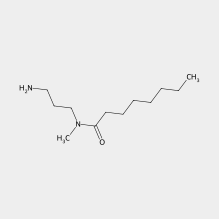 CCCCCCCC(=O)N(C)CCCN